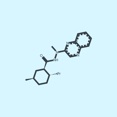 CC(C)[C@@H]1CC[C@@H](C)C[C@H]1C(=O)NN(C)c1cnc2ccccc2n1